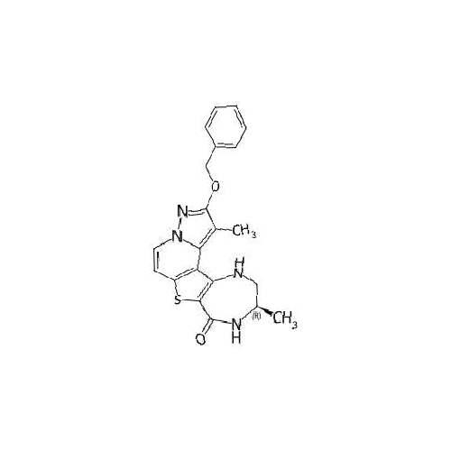 Cc1c(OCc2ccccc2)nn2ccc3sc4c(c3c12)NC[C@@H](C)NC4=O